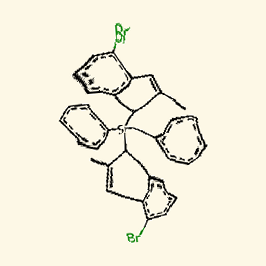 CC1=Cc2c(Br)cccc2C1[Si](c1ccccc1)(c1ccccc1)C1C(C)=Cc2c(Br)cccc21